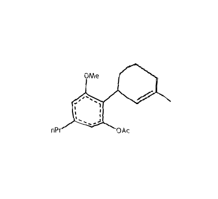 CCCc1cc(OC)c(C2C=C(C)CCC2)c(OC(C)=O)c1